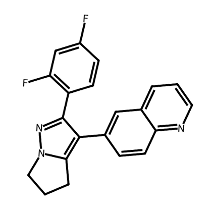 Fc1ccc(-c2nn3c(c2-c2ccc4ncccc4c2)CCC3)c(F)c1